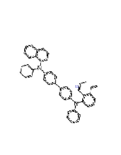 C=Cc1cccc(N(c2ccccc2)c2ccc(-c3ccc(N(C4=CCCC=C4)c4cccc5ccccc45)cc3)cc2)c1/C=C\C